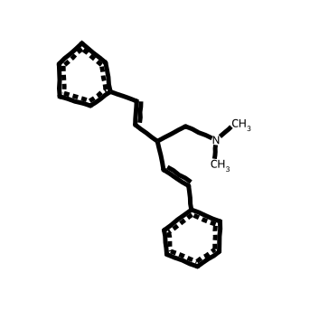 CN(C)CC(C=Cc1ccccc1)C=Cc1ccccc1